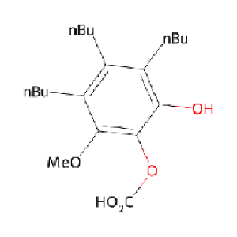 CCCCc1c(O)c(OC(=O)O)c(OC)c(CCCC)c1CCCC